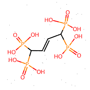 O=P(O)(O)C(C=CC(P(=O)(O)O)P(=O)(O)O)P(=O)(O)O